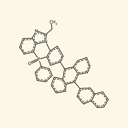 CCc1nc2cccc3c2n1-c1ccc(-c2c4ccccc4c(-c4ccc5ccccc5c4)c4ccccc24)cc1P3(=O)c1ccccc1